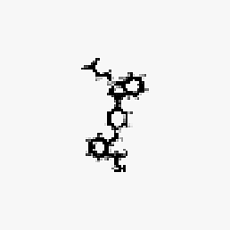 CC(C)CCn1cc(C2CCN(Cc3ccccc3C(=O)O)CC2)c2ccccc21